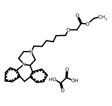 CCOC(=O)COCCCCCCN1CCN2c3ccccc3Cc3ccccc3C2C1.O=C(O)C(=O)O